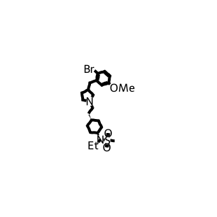 CCN([C@H]1CC[C@H](CCN2CCC(Cc3cc(OC)ccc3Br)C2)CC1)S(C)(=O)=O